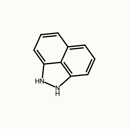 c1cc2c3c(cccc3c1)NN2